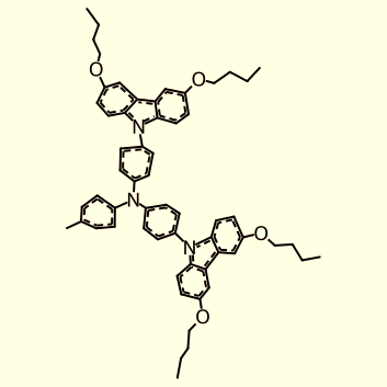 CCCCOc1ccc2c(c1)c1cc(OCCCC)ccc1n2-c1ccc(N(c2ccc(C)cc2)c2ccc(-n3c4ccc(OCCCC)cc4c4cc(OCCCC)ccc43)cc2)cc1